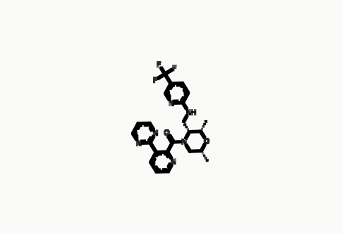 C[C@@H]1CN(C(=O)c2ncccc2-c2ncccn2)[C@H](CNc2ccc(C(F)(F)F)cn2)[C@H](C)O1